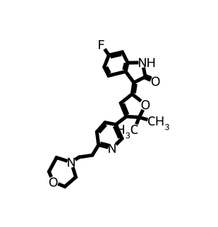 CC1(C)OC(=C2C(=O)Nc3cc(F)ccc32)C=C1c1ccc(CCN2CCOCC2)nc1